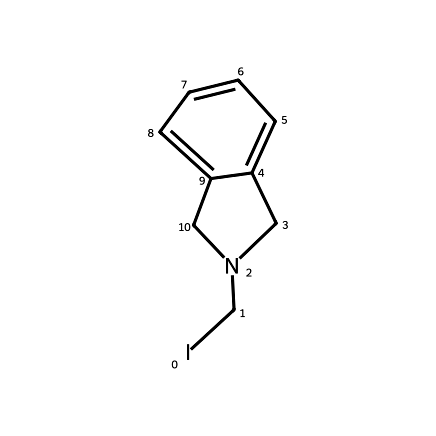 ICN1Cc2ccccc2C1